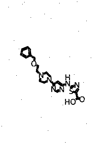 O=C(O)c1cnc(Nc2cc(N3CCN(CCOCc4ccccc4)CC3)ncn2)s1